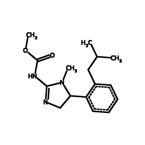 COC(=O)NC1=NCC(c2ccccc2CC(C)C)N1C